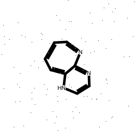 C1=CC=C2NC=CN=C2N=C1